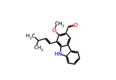 COc1c(C=O)cc2c([nH]c3ccccc32)c1/C=C/C(C)C